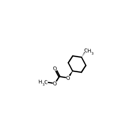 COC(=O)O[C@H]1CC[C@H](C)CC1